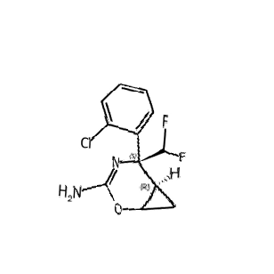 NC1=N[C@@](c2ccccc2Cl)(C(F)F)[C@H]2CC2O1